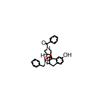 O=C(c1ccccc1)N1C[C@H]2OC34CCC1C2C31CCN(Cc2ccccc2)C4Cc2ccc(O)cc21